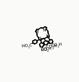 Cl.O=C(O)c1ccc(C2=CC3=CC4=NC(=CC5=NC(=CC6=NC(=C(c7ccc(C(=O)O)cc7)C2=N3)C(c2ccc(C(=O)O)cc2)=C6c2ccc(C(=O)O)cc2)C=C5)C=C4)cc1